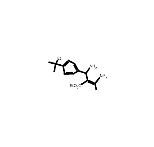 CCOC(=O)/C(=C(\C)N)C(N)c1ccc(C(C)(C)CC)cc1